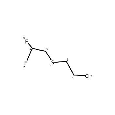 FC(F)CS[CH]CCl